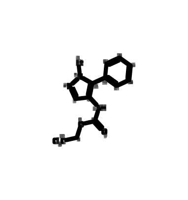 CCn1ncc(NC(=O)OCC(Cl)(Cl)Cl)c1-c1ccccc1